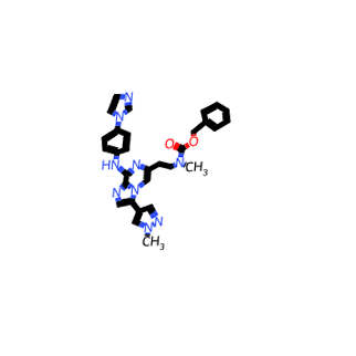 CN(CCc1cn2c(-c3cnn(C)c3)cnc2c(Nc2ccc(-n3ccnc3)cc2)n1)C(=O)OCc1ccccc1